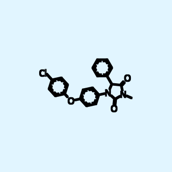 CN1C(=O)C(c2ccccc2)N(c2ccc(Oc3ccc(Cl)cc3)cc2)C1=O